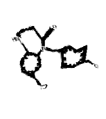 O=C1CCNc2ccc(Cl)cc2N1c1ccc(Cl)cc1